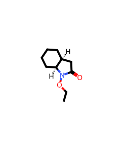 CCON1C(=O)C[C@@H]2CCCC[C@@H]21